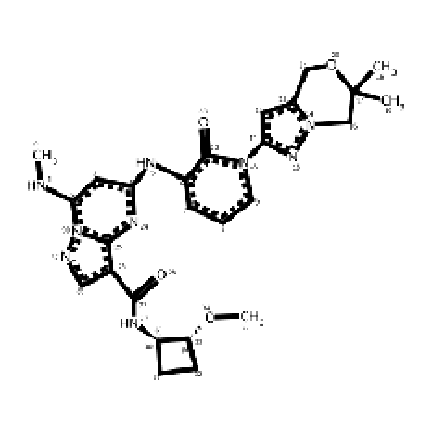 CNc1cc(Nc2cccn(-c3cc4n(n3)CC(C)(C)OC4)c2=O)nc2c(C(=O)N[C@@H]3CC[C@H]3OC)cnn12